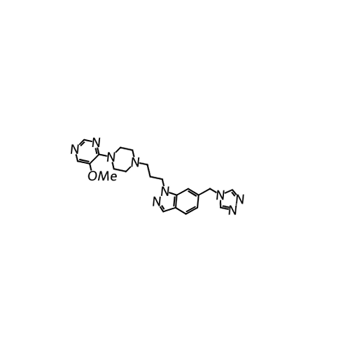 COc1cncnc1N1CCN(CCCn2ncc3ccc(Cn4cnnc4)cc32)CC1